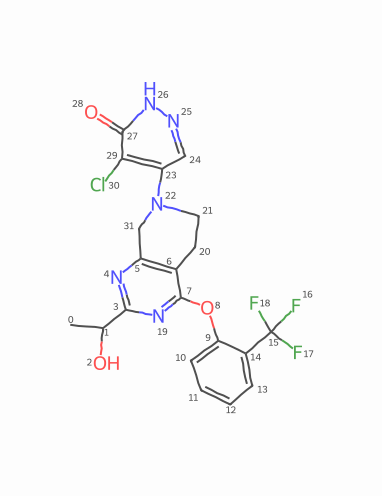 CC(O)c1nc2c(c(Oc3ccccc3C(F)(F)F)n1)CCN(c1cn[nH]c(=O)c1Cl)C2